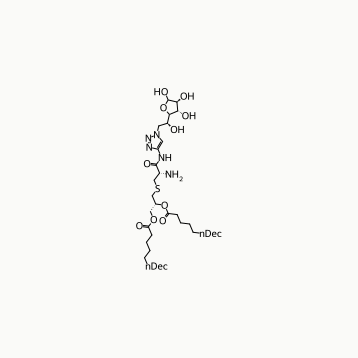 CCCCCCCCCCCCCCC(=O)OC[C@H](CSC[C@@H](N)C(=O)Nc1cn(C[C@H](O)C2OC(O)[C@@H](O)[C@@H]2O)nn1)OC(=O)CCCCCCCCCCCCCC